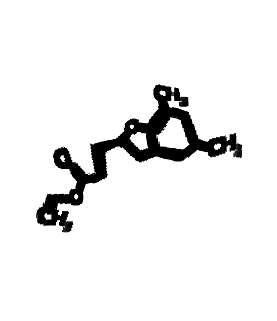 CCOC(=O)/C=C/c1cc2cc(C)cc(C)c2o1